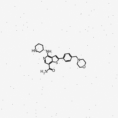 NC(=O)c1cnc(N[C@H]2CCCNC2)c2cc(-c3ccc(CN4CCOCC4)cc3)sc12